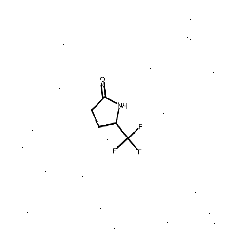 O=C1CCC(C(F)(F)F)N1